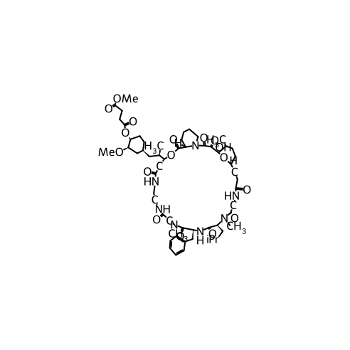 COC(=O)CCC(=O)O[C@@H]1CC[C@@H](C[C@@H](C)[C@@H]2CC(=O)NCCNC(=O)CN(C)C(=O)[C@H](Cc3ccccc3)NC(=O)[C@H](CC(C)C)N(C)C(=O)CNC(=O)CC[C@@H]3CC[C@@H](C)[C@@](O)(O3)C(=O)C(=O)N3CCCC[C@H]3C(=O)O2)C[C@H]1OC